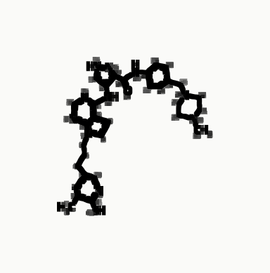 Cc1cc(CCCn2ccc3c(Nc4c[nH]nc4C(=O)Nc4ccc(CN5CCN(C)CC5)cc4)ncnc32)cnc1S